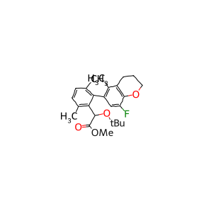 COC(=O)C(OC(C)(C)C)c1c(C)ccc(C)c1-c1cc(F)c2c(c1C)CCCO2